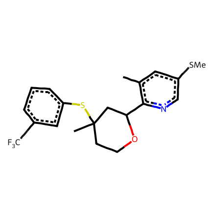 CSc1cnc(C2CC(C)(Sc3cccc(C(F)(F)F)c3)CCO2)c(C)c1